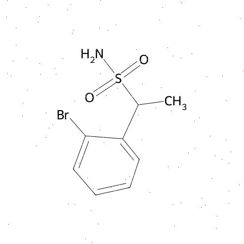 CC(c1ccccc1Br)S(N)(=O)=O